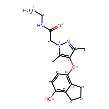 Cc1nn(CC(=O)NCC(=O)O)c(C)c1Oc1ccc(O)c2c1CCC2